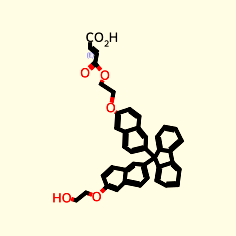 O=C(O)/C=C/C(=O)OCCOc1ccc2cc(C3(c4ccc5cc(OCCO)ccc5c4)c4ccccc4-c4ccccc43)ccc2c1